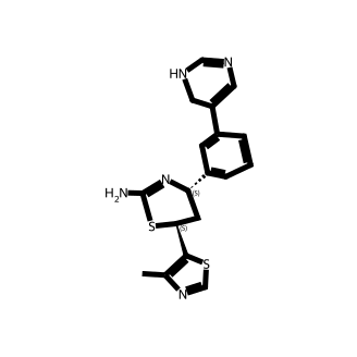 Cc1ncsc1[C@@H]1C[C@@H](c2cccc(C3=CN=CNC3)c2)N=C(N)S1